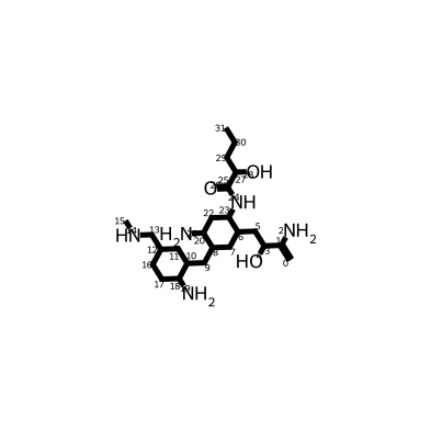 C=C(N)C(O)CC1CC(CC2CC(CNC)CCC2N)C(N)CC1NC(=O)C(O)CCC